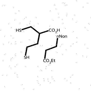 CCCCCCCCCCCC(=O)OCC.O=C(O)C(CS)CCS